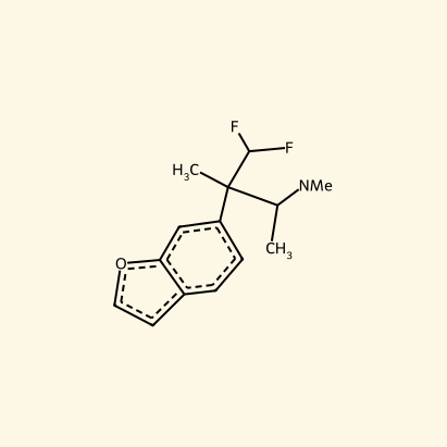 CNC(C)C(C)(c1ccc2ccoc2c1)C(F)F